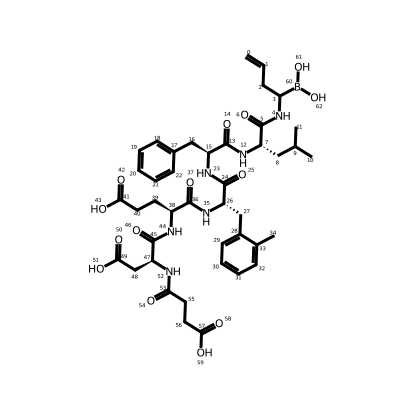 C=CCC(NC(=O)[C@H](CC(C)C)NC(=O)[C@H](Cc1ccccc1)NC(=O)[C@H](Cc1ccccc1C)NC(=O)[C@H](CCC(=O)O)NC(=O)[C@H](CC(=O)O)NC(=O)CCC(=O)O)B(O)O